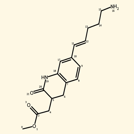 COC(=O)CC1Cc2ccc(/C=C/CCCN)cc2NC1=O